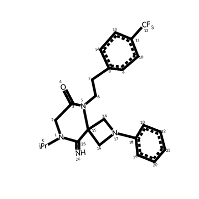 CC(C)N1CC(=O)N(CCc2ccc(C(F)(F)F)cc2)C2(CN(c3ccccc3)C2)C1=N